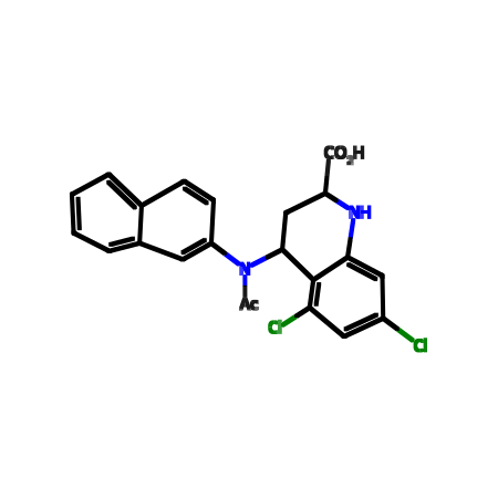 CC(=O)N(c1ccc2ccccc2c1)C1CC(C(=O)O)Nc2cc(Cl)cc(Cl)c21